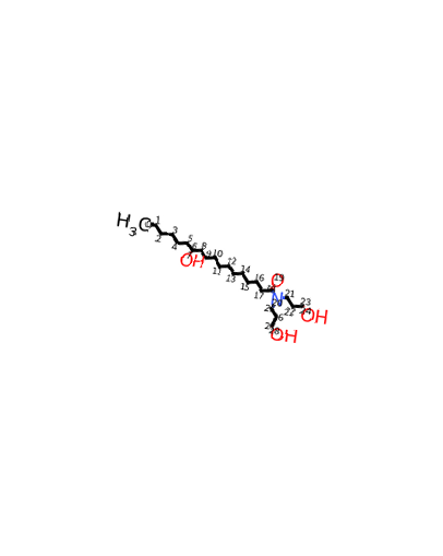 CCCCCCC(O)CCCCCCCCCCC(=O)N(CCCO)CCCO